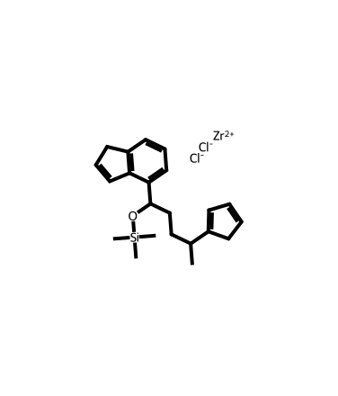 CC(CCC(O[Si](C)(C)C)c1cccc2c1C=CC2)C1=CC=CC1.[Cl-].[Cl-].[Zr+2]